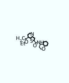 C=C(OCC)c1ccnc2cc(C(=O)N[C@H]3CCOc4ccccc43)sc12